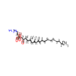 CCCCCCCCCCCCCCCCCC(=O)COS(=O)(=O)CCN